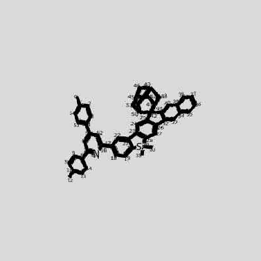 Cc1ccc(-c2cc(-c3ccc(C)cc3)nc(-c3ccc4c(c3)-c3cc5c(cc3[Si]4(C)C)-c3cc4ccccc4cc3C53C4CC5CC(C4)CC3C5)c2)cc1